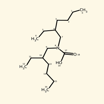 CCCCC(CC)CN(CC(CC)CCCC)C(=O)O